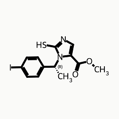 COC(=O)c1cnc(S)n1[C@H](C)c1ccc(I)cc1